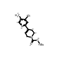 CCc1cc(C2=CCN(C(=O)OC(C)(C)C)CC2)ncc1C